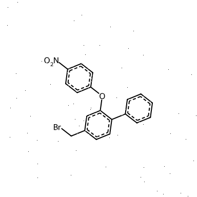 O=[N+]([O-])c1ccc(Oc2cc(CBr)ccc2-c2ccccc2)cc1